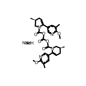 COc1ncc(C2=CC[C@H](C)CN2C(=O)OC(=O)OC(=O)N2C[C@@H](C)CC=C2c2cnc(OC)c(C)c2)cc1C.[NaH].[NaH]